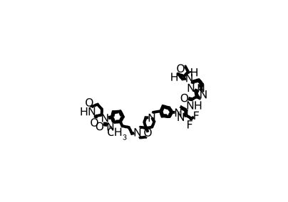 Cn1c(=O)n(C2CCC(=O)NC2=O)c2cccc(CCCN3CCOC4(CCN(Cc5ccc(-n6cc(NC(=O)c7cnn8ccc(N9C[C@H]%10C[C@@H]9CO%10)nc78)c(C(F)F)n6)cc5)CC4)C3)c21